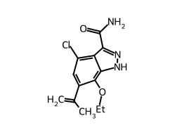 C=C(C)c1cc(Cl)c2c(C(N)=O)n[nH]c2c1OCC